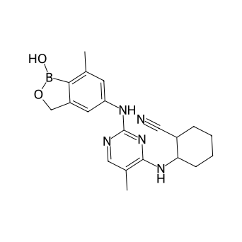 Cc1cnc(Nc2cc(C)c3c(c2)COB3O)nc1NC1CCCCC1C#N